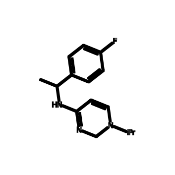 CC(NC1=NCN(C(C)C)C=C1)c1ccc(F)cc1